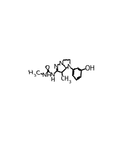 CNC(=O)NC1=NN2CCN(c3cccc(O)c3)C2C1C